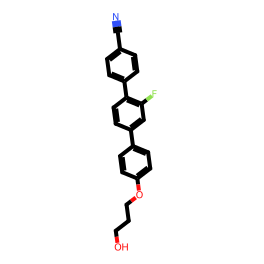 N#Cc1ccc(-c2ccc(-c3ccc(OCCCO)cc3)cc2F)cc1